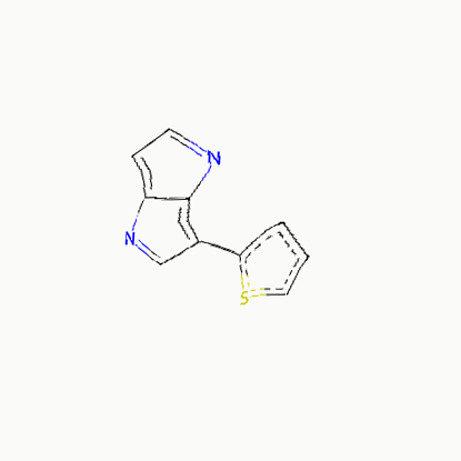 C1=NC2=CC=NC2=C1c1cccs1